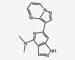 CN(C)c1nc(-c2cnn3cccnc23)cc2[nH]ncc12